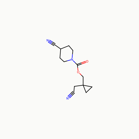 N#CCC1(COC(=O)N2CCC(C#N)CC2)CC1